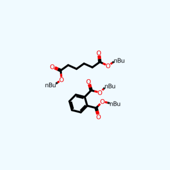 CCCCOC(=O)CCCCC(=O)OCCCC.CCCCOC(=O)c1ccccc1C(=O)OCCCC